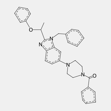 CC(Oc1ccccc1)c1nc2ccc(N3CCN(C(=O)c4ccccc4)CC3)cc2n1Cc1ccccc1